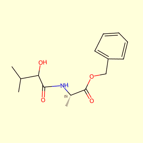 CC(C)C(O)C(=O)N[C@@H](C)C(=O)OCc1ccccc1